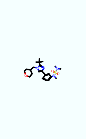 CN(C)S(=O)(=O)N(C)c1cccc(-c2cn(CC3CCOCC3)c(C(C)(C)C)n2)c1